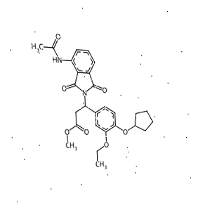 CCOc1cc(C(CC(=O)OC)N2C(=O)c3cccc(NC(C)=O)c3C2=O)ccc1OC1CCCC1